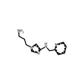 NCCCn1cnc(NCc2ccccn2)c1